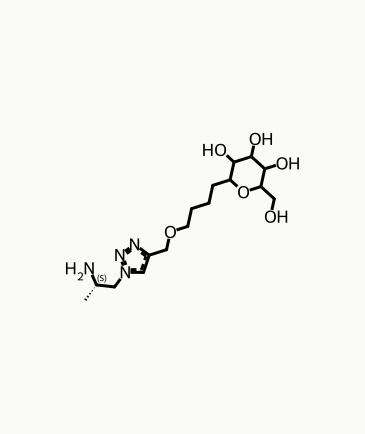 C[C@H](N)Cn1cc(COCCCCC2OC(CO)C(O)C(O)C2O)nn1